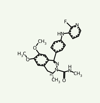 CNC(=O)N1N=C(c2ccc(Nc3cccnc3F)cc2)c2cc(OC)c(OC)cc2C[C@H]1C